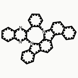 c1ccc2c(c1)ccc1c2c2ccc3c4ccccc4n4c5nc6ccccc6nc5c5ccccc5n1c2c34